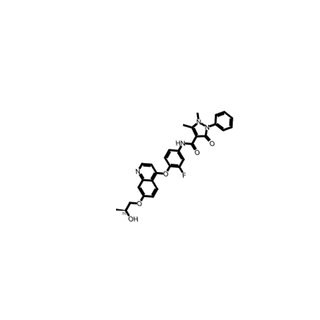 Cc1c(C(=O)Nc2ccc(Oc3ccnc4cc(OC[C@H](C)O)ccc34)c(F)c2)c(=O)n(-c2ccccc2)n1C